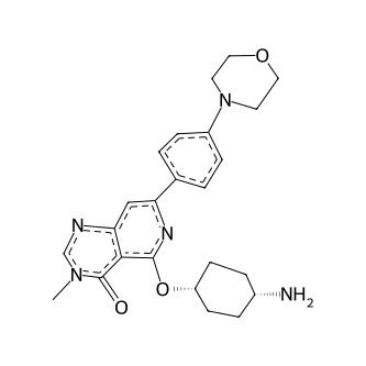 Cn1cnc2cc(-c3ccc(N4CCOCC4)cc3)nc(O[C@H]3CC[C@@H](N)CC3)c2c1=O